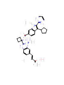 C=C(O)/C(C)=C/c1ccc2nc(C3(NC(=O)c4ccc5c(C6CCCC6)c(-c6ncccn6)n(C)c5c4)CCC3)n(C)c2c1